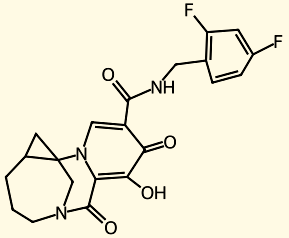 O=C(NCc1ccc(F)cc1F)c1cn2c(c(O)c1=O)C(=O)N1CCCC3CC32C1